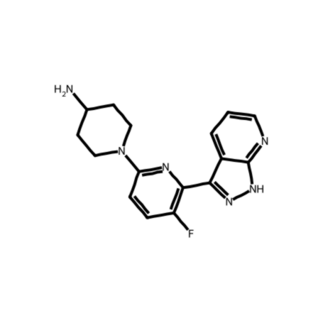 NC1CCN(c2ccc(F)c(-c3n[nH]c4ncccc34)n2)CC1